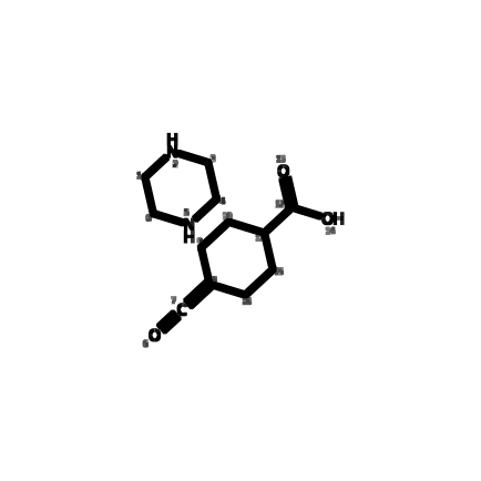 C1CNCCN1.O=C=C1CCC(C(=O)O)CC1